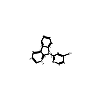 Ic1ccnc(-n2c3ccccc3c3cccnc32)c1